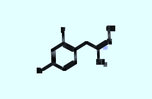 N/C(Cc1ccc(Br)cc1F)=N/O